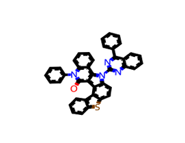 O=c1c2c3c4c(ccc3n(-c3nc(-c5ccccc5)c5ccccc5n3)c2c2ccccc2n1-c1ccccc1)sc1ccccc14